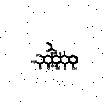 C=CC(=O)O[C@H]1[C@H]2C(=C(O)[C@]3(O)C(=O)C(C(N)=O)C(O)C[C@]13O)C(=O)c1c(O)cccc1[C@@H]2C